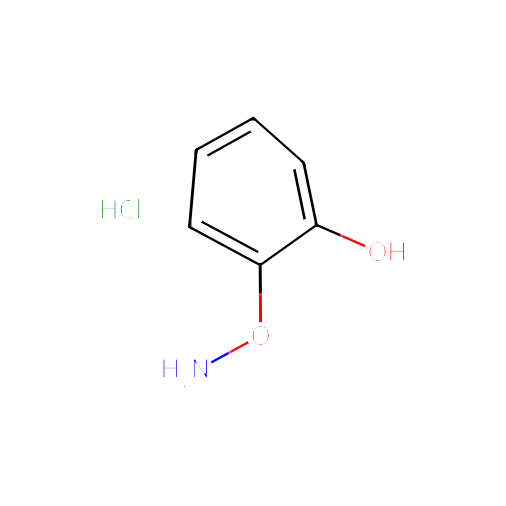 Cl.NOc1ccccc1O